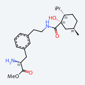 COC(=O)[C@@H](N)Cc1cccc(CCNC(=O)[C@]2(O)C[C@H](C)CC[C@H]2C(C)C)c1